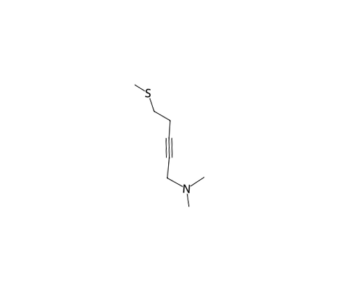 CSCCC#CCN(C)C